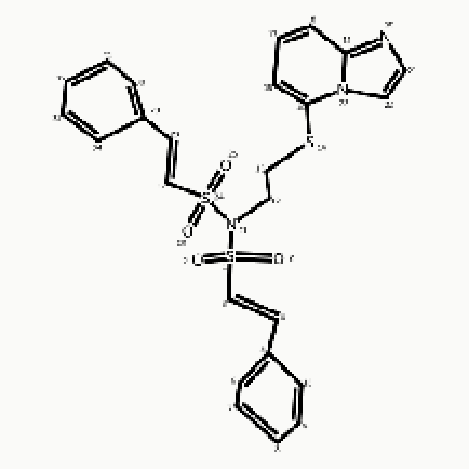 O=S(=O)(C=Cc1ccccc1)N(CCSc1cccc2nccn12)S(=O)(=O)C=Cc1ccccc1